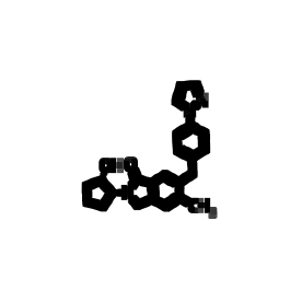 Cc1cc2c(cc1Cc1ccc(-n3cccn3)cc1)C(=O)N([C@H]1CCC[C@@H]1O)C2